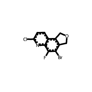 Fc1c(Br)c2c(c3ccc(Cl)nc13)COC2